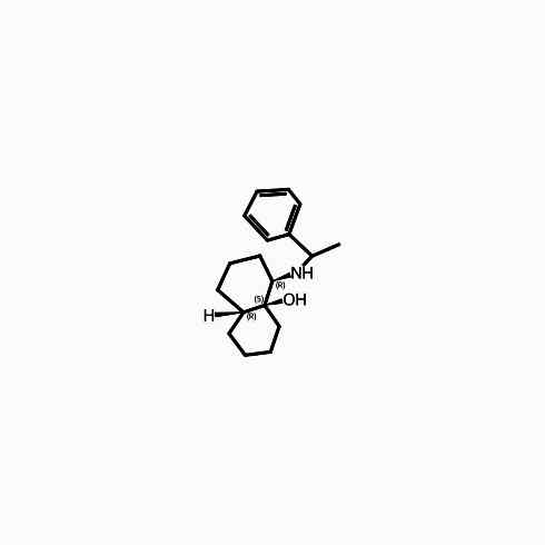 CC(N[C@@H]1CCC[C@H]2CCCC[C@]21O)c1ccccc1